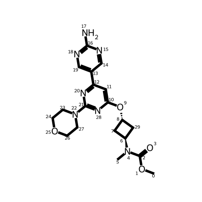 COC(=O)N(C)[C@H]1C[C@H](Oc2cc(-c3cnc(N)nc3)nc(N3CCOCC3)n2)C1